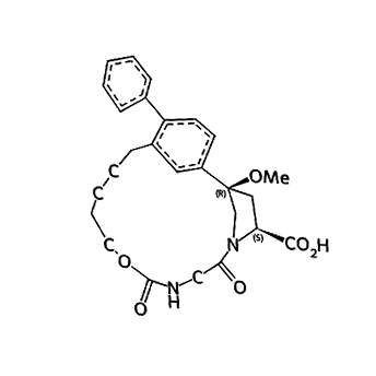 CO[C@@]12C[C@@H](C(=O)O)N(C1)C(=O)CNC(=O)OCCCCCc1cc2ccc1-c1ccccc1